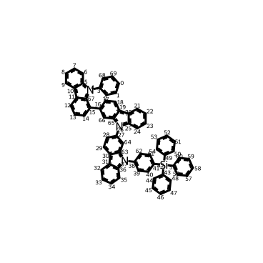 c1ccc(-n2c3ccccc3c3cccc(-c4ccc5c6ccccc6n(-c6ccc7c8ccccc8n(-c8ccc([Si](c9ccccc9)(c9ccccc9)c9ccccc9)cc8)c7c6)c5c4)c32)cc1